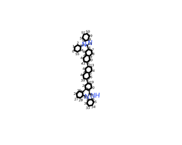 c1ccc(-n2c(-c3ccc4cc(-c5ccc6cc(-c7ccc8c(c7)-c7ccccc7N7c9ccccc9NC87)ccc6c5)ccc4c3)nc3ccccc32)cc1